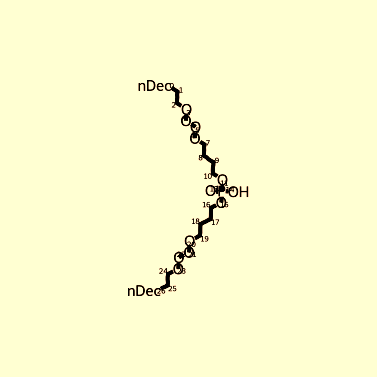 CCCCCCCCCCCCOOOOCCCCOP(=O)(O)OCCCCOOOOCCCCCCCCCCCC